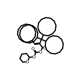 O=C(OC(=O)C(=CC1CCCCCCCCCCC1)C(C1CCCCCCCCCCC1)(C1CCCCCCCCCCC1)C1CCCCCCCCCCC1)OC1CCCCO1